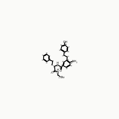 CC(C)(C)CNC(=O)[C@H](CCc1ccccc1)NC(=O)c1ccc(N)c(CCc2ccc(O)cc2)c1